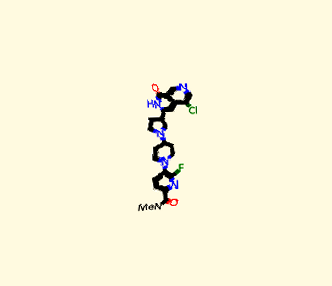 CNC(=O)c1ccc(N2CCC(N3CCC(c4cc5c(Cl)cncc5c(=O)[nH]4)C3)CC2)c(F)n1